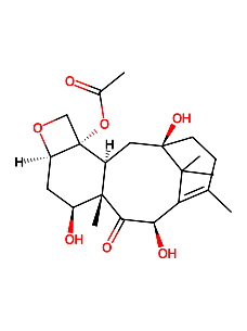 CC(=O)O[C@@]12CO[C@@H]1C[C@H](O)[C@@]1(C)C(=O)[C@H](O)C3=C(C)CC[C@@](O)(C[C@H]21)C3(C)C